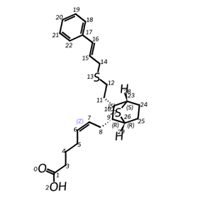 O=C(O)CCC/C=C\C[C@@H]1[C@H](CCSCC=Cc2ccccc2)[C@@H]2CC[C@H]1S2